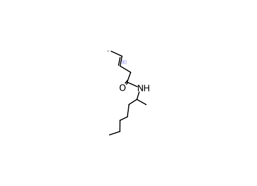 [CH2]/C=C/CC(=O)NC(C)CCCCC